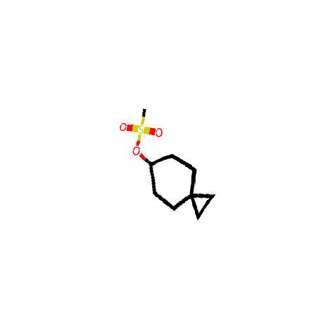 CS(=O)(=O)OC1CCC2(CC1)CC2